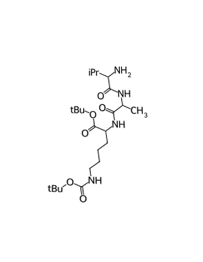 CC(NC(=O)C(N)C(C)C)C(=O)NC(CCCCNC(=O)OC(C)(C)C)C(=O)OC(C)(C)C